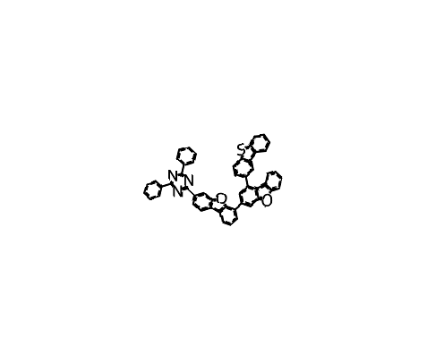 c1ccc(-c2nc(-c3ccccc3)nc(-c3ccc4c(c3)oc3c(-c5cc(-c6ccc7sc8ccccc8c7c6)c6c(c5)oc5ccccc56)cccc34)n2)cc1